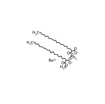 CCCCCCCCCCCCCCCCCCC(C(=O)[O-])C(=O)OC.CCCCCCCCCCCCCCCCCCC(C(=O)[O-])C(=O)OC.[Ba+2]